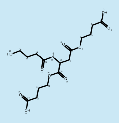 O=C(O)CCCOC(=O)CC(NC(=O)CCCO)C(=O)OCCCC(=O)O